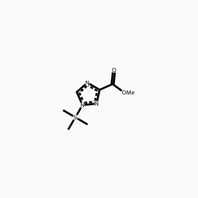 COC(=O)c1ncn([Si](C)(C)C)n1